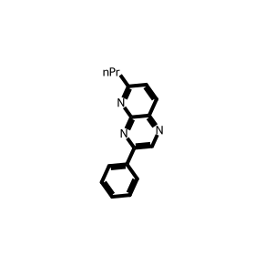 [CH2]CCc1ccc2ncc(-c3ccccc3)nc2n1